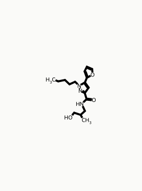 CCCCCn1nc(C(=O)NCC(C)CO)cc1-c1ccco1